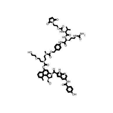 Cc1cccc2c(OC(=O)N(CCOCCO)CCN(C)C(=O)OCc3ccc(NC(=O)[C@H](CCCNC(N)=O)NC(=O)[C@@H](NC(=O)OCCN4C(=O)C=CC4=O)C(C)C)cc3)cc3c(c12)[C@H](CCl)CN3C(=O)c1cc2cc(NC(=O)c3ccc(O)cc3)cnc2[nH]1